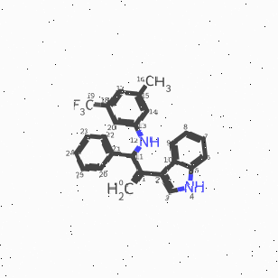 C=C(c1c[nH]c2ccccc12)C(Nc1cc(C)cc(C(F)(F)F)c1)c1ccccc1